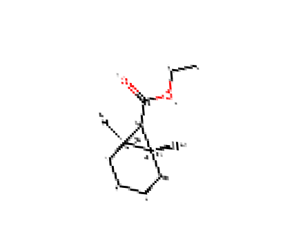 CCOC(=O)C1[C@@H]2CCCC[C@@H]12